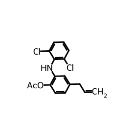 C=CCc1ccc(OC(C)=O)c(Nc2c(Cl)cccc2Cl)c1